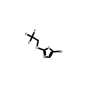 FC(F)(F)COc1ncc(Br)s1